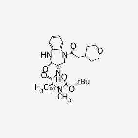 C[C@@H](C(=O)N[C@H]1CN(C(=O)CC2CCOCC2)c2ccccc2NC1=O)N(C)C(=O)OC(C)(C)C